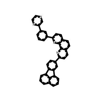 c1cc(-c2cnccn2)cc(-c2ccc3ccc4ccc(-c5ccc6c(c5)-c5cccc7cccc-6c57)nc4c3n2)c1